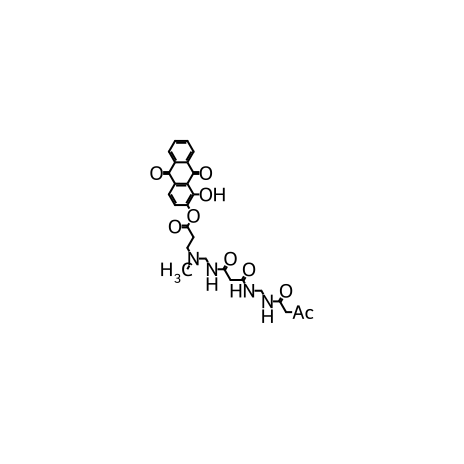 CC(=O)CC(=O)NCNC(=O)CC(=O)NCN(C)CCC(=O)Oc1ccc2c(c1O)C(=O)c1ccccc1C2=O